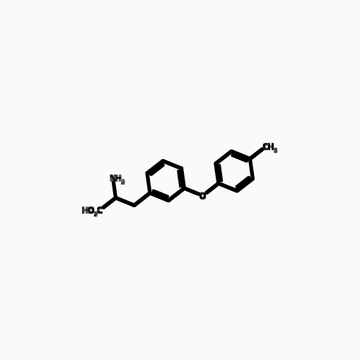 Cc1ccc(Oc2cccc(CC(N)C(=O)O)c2)cc1